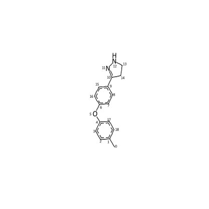 Cc1ccc(Oc2ccc(C3=NNCC3)cc2)cc1